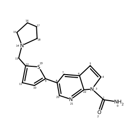 NC(=O)n1c[c]c2cc(-c3ccc(CN4CCCC4)s3)cnc21